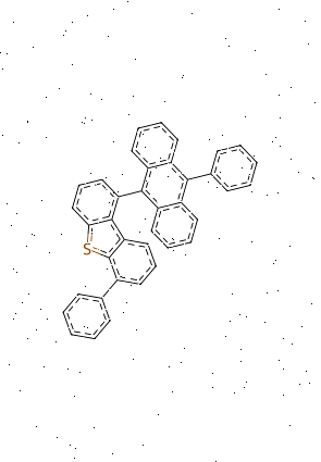 c1ccc(-c2c3ccccc3c(-c3cccc4sc5c(-c6ccccc6)cccc5c34)c3ccccc23)cc1